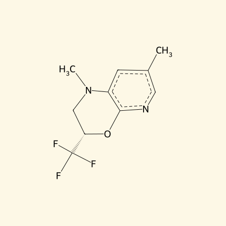 Cc1cnc2c(c1)N(C)C[C@@H](C(F)(F)F)O2